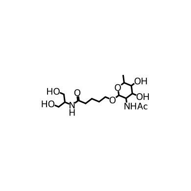 CC(=O)NC1C(OCCCCC(=O)NC(CO)CO)OC(C)C(O)C1O